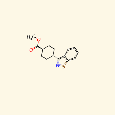 COC(=O)[C@H]1CC[C@H](c2nsc3ccccc32)CC1